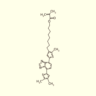 C=C(C)C(=O)OCCCCCCCCc1cc(-c2ccc(-c3cc(C)c(C)s3)c3nsnc23)sc1C